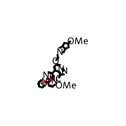 COc1ccc(CN2C3CC2CN(c2ccc(-c4cc(OCCN5CC6CC(OC)CC6C5)cn5ncc(C#N)c45)cn2)C3)cn1